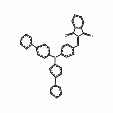 O=C1C(=Cc2ccc(N(c3ccc(-c4ccccc4)cc3)c3ccc(-c4ccccc4)cc3)cc2)C(=O)c2ccccc21